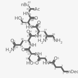 CCCCCCCCCCCCCC(=O)NCC(=O)N[C@@H](CO)C(=O)N[C@H](CCC(N)=O)C(=O)N[C@@H](C/C(N)=C/N)C(=O)N[C@@H](CO)C(=O)N[C@@H](CCCC)C(C)=O